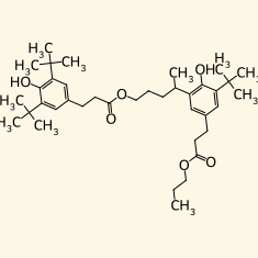 CCCOC(=O)CCc1cc(C(C)CCCOC(=O)CCc2cc(C(C)(C)C)c(O)c(C(C)(C)C)c2)c(O)c(C(C)(C)C)c1